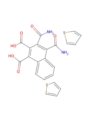 NC(=O)c1c(C(=O)O)c(C(=O)O)c2ccccc2c1C(N)=O.c1ccsc1.c1ccsc1